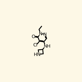 CCn1ncc(NC2CNC2)c(Cl)c1=O